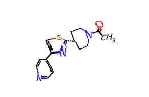 CC(=O)N1CCC(c2nc(-c3ccncc3)cs2)CC1